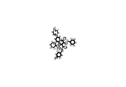 CN1CCN(c2cc(N3CCCCC3=O)c3nc(C(=O)NCc4ccc(F)cc4)c(OCc4ccccc4)c(=O)n3c2)CC1